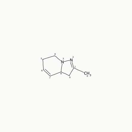 CC1=NN2CCC=CC2C1